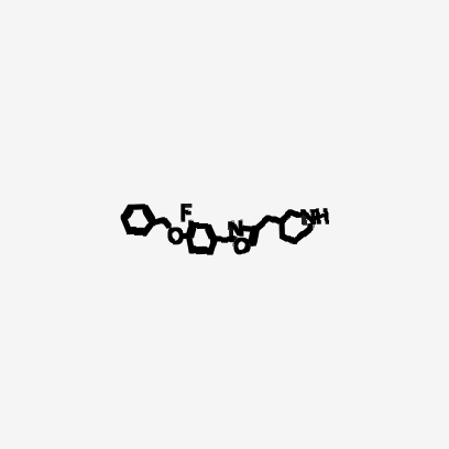 Fc1cc(-c2nc(CC3CCCNC3)co2)ccc1OCc1ccccc1